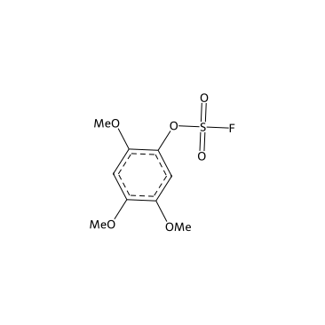 COc1cc(OC)c(OS(=O)(=O)F)cc1OC